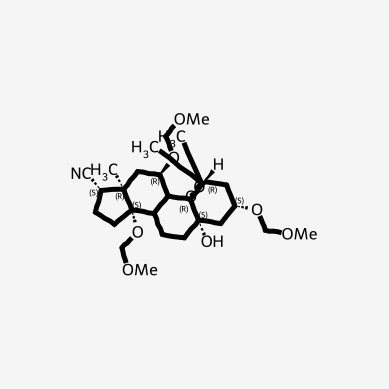 COCO[C@H]1C[C@H]2OC(C)(C)OC[C@]23C2C(CC[C@]3(O)C1)[C@@]1(OCOC)CC[C@H](C#N)[C@@]1(C)C[C@H]2OCOC